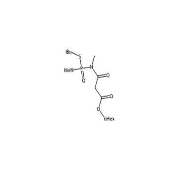 CCCCCCOC(=O)CC(=O)N(C)P(=O)(NC)SC(C)CC